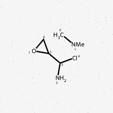 CNC.NC(Cl)C1CO1